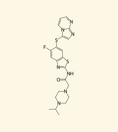 CC(C)N1CCN(CC(=O)Nc2nc3cc(F)c(Sc4cnc5ncccn45)cc3s2)CC1